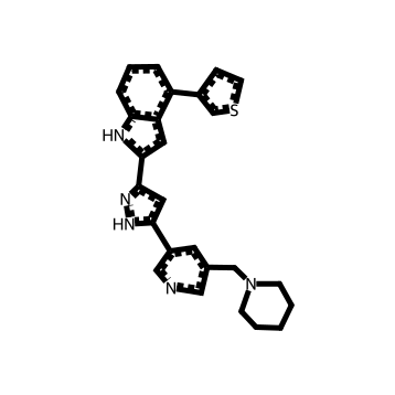 c1cc(-c2ccsc2)c2cc(-c3cc(-c4cncc(CN5CCCCC5)c4)[nH]n3)[nH]c2c1